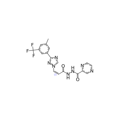 Cc1cc(-c2ncn(/C=C\C(=O)NNC(=O)c3cnccn3)n2)cc(C(F)(F)F)c1